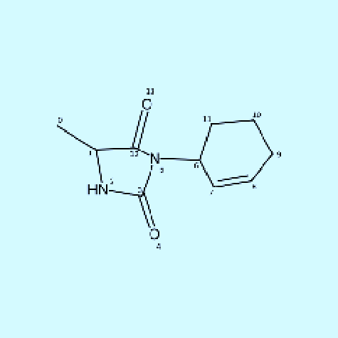 CC1NC(=O)N(C2C=CCCC2)C1=O